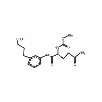 CC(C)(C)OC(=O)N[C@@H](CCC(N)=O)C(=O)Nc1cccc(CCCC(=O)O)c1